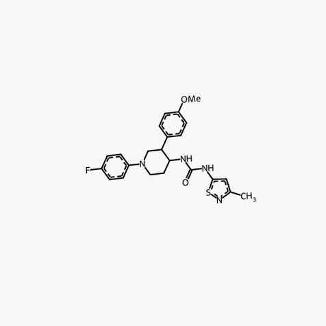 COc1ccc(C2CN(c3ccc(F)cc3)CCC2NC(=O)Nc2cc(C)ns2)cc1